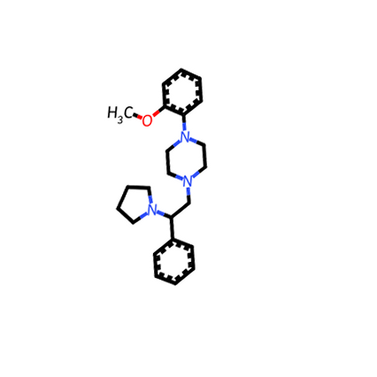 COc1ccccc1N1CCN(CC(c2ccccc2)N2CCCC2)CC1